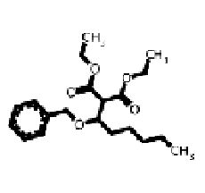 CCCCCC(OCc1ccccc1)C(C(=O)OCC)C(=O)OCC